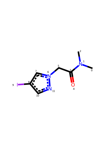 CN(C)C(=O)Cn1cc(I)cn1